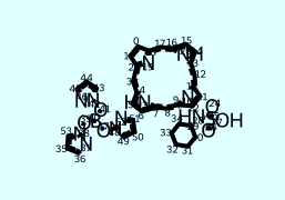 C1=Cc2cc3ccc(cc4nc(cc5ccc(cc1n2)[nH]5)C=C4)[nH]3.O=S(=O)(O)NC1CCCCC1.c1cnn(OB(On2cccn2)On2cccn2)c1